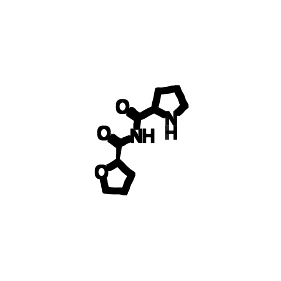 O=C(NC(=O)[C@H]1CCCO1)C1CCCN1